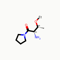 CCO[C@H](C)[C@H](N)C(=O)N1CCCC1